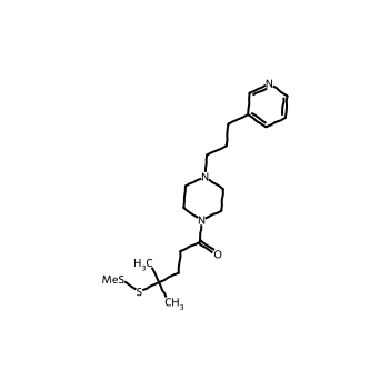 CSSC(C)(C)CCC(=O)N1CCN(CCCc2cccnc2)CC1